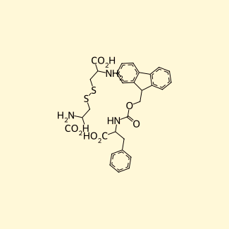 NC(CSSCC(N)C(=O)O)C(=O)O.O=C(NC(Cc1ccccc1)C(=O)O)OCC1c2ccccc2-c2ccccc21